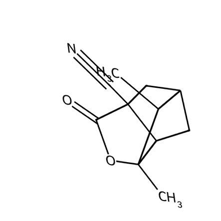 CC1C2CC3C(C#N)(C2)C(=O)OC13C